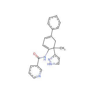 CC1(c2cc[nH]n2)CC(c2ccccc2)=CC=C1NC(=O)c1cccnc1